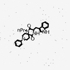 CCCN1C(=O)C(Cc2c[nH]c3ccccc23)NC(=O)C12CCN(c1ccccc1)CC2